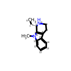 CC[C@@H]1NCCc2c1n(C)c1ccccc21